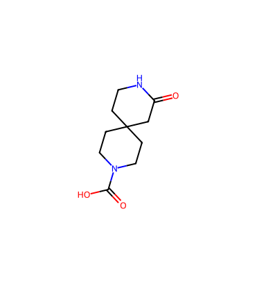 O=C1CC2(CCN1)CCN(C(=O)O)CC2